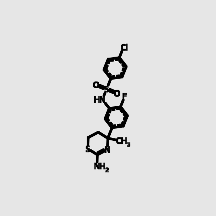 CC1(c2ccc(F)c(NS(=O)(=O)c3ccc(Cl)cc3)c2)CCSC(N)=N1